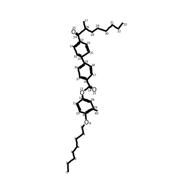 CCCCCCCCOc1ccc(OC(=O)c2ccc(-c3ccc(C(=O)C(C)CCCCCC)cc3)cc2)cc1C